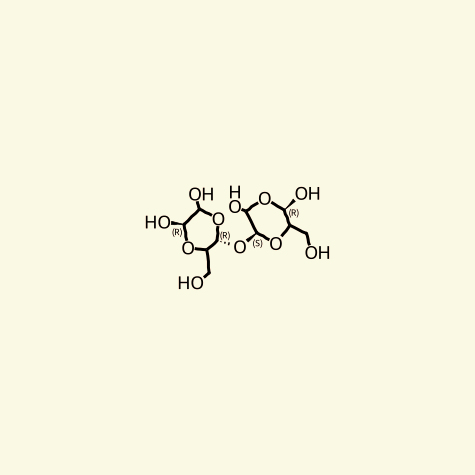 OCC1O[C@@H](O)C(O)O[C@@H]1O[C@@H]1OC(CO)[C@H](O)OC1O